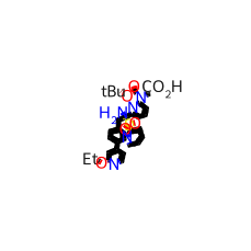 CCOc1cc(-c2ccc(CC(N)(c3cccc(N(CC(=O)O)C(=O)OC(C)(C)C)n3)S(=O)(=O)c3ccccn3)cc2)ccn1